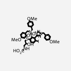 COc1ccc(CN(Cc2ccc(OC)cc2)S(=O)(=O)c2c(SCC(O)CNC(=O)O)ccc(I)c2-c2nnn(Cc3ccc(OC)cc3)n2)cc1